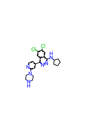 Clc1cc2c(NC3CCCC3)nnc(-c3ccnc(N4CCNCC4)c3)c2cc1Cl